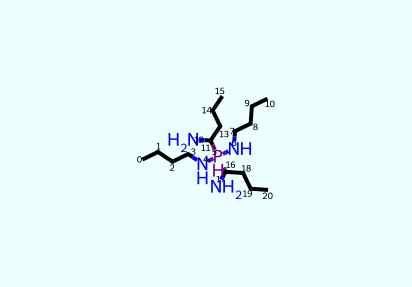 CCCCN[PH](NCCCC)(C(N)CCC)C(N)CCC